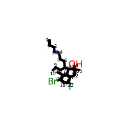 C=CC/C=C/CCC(CCC)C1(O)c2c(C)c(Br)cc(F)c2CC1(C)C